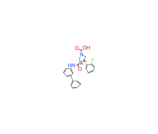 O=C(Nc1cccc(-c2ccccc2)c1)[C@H]1CN(C(=O)O)C[C@@H]1c1ccccc1F